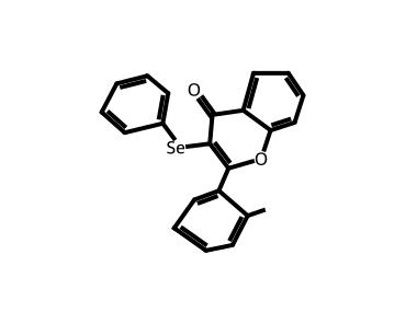 Cc1ccccc1-c1oc2ccccc2c(=O)c1[Se]c1ccccc1